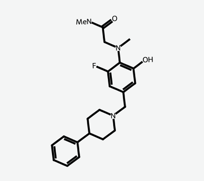 CNC(=O)CN(C)c1c(O)cc(CN2CCC(c3ccccc3)CC2)cc1F